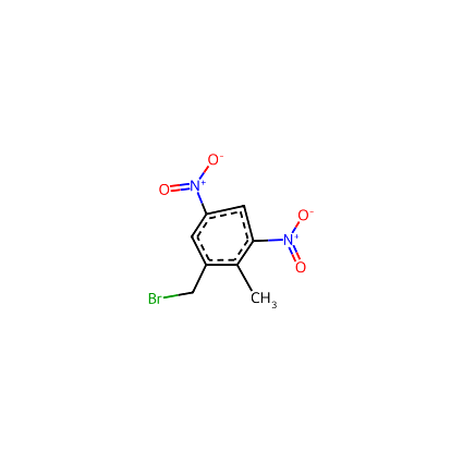 Cc1c(CBr)cc([N+](=O)[O-])cc1[N+](=O)[O-]